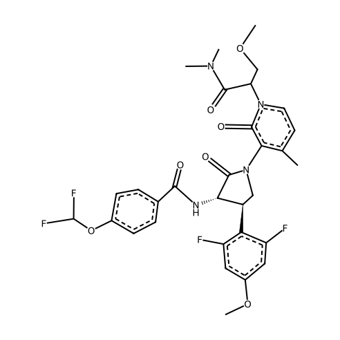 COCC(C(=O)N(C)C)n1ccc(C)c(N2C[C@@H](c3c(F)cc(OC)cc3F)[C@H](NC(=O)c3ccc(OC(F)F)cc3)C2=O)c1=O